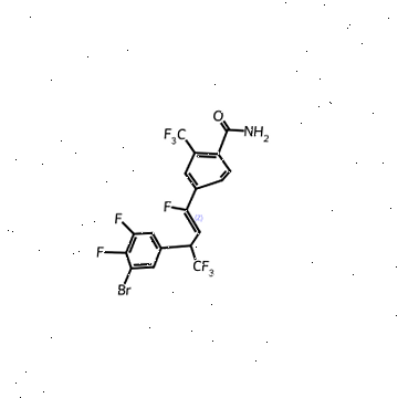 NC(=O)c1ccc(/C(F)=C/C(c2cc(F)c(F)c(Br)c2)C(F)(F)F)cc1C(F)(F)F